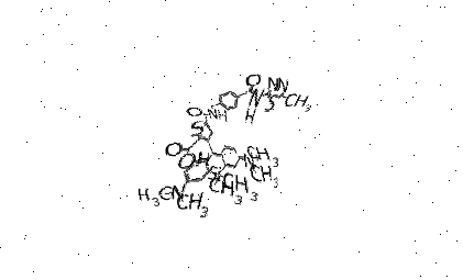 Cc1nnc(NC(=O)c2ccc(CNC(=O)c3cc(C4=C5C=CC(=[N+](C)C)C=C5[Si](C)(C)c5cc(N(C)C)ccc54)c(C(=O)O)s3)cc2)s1